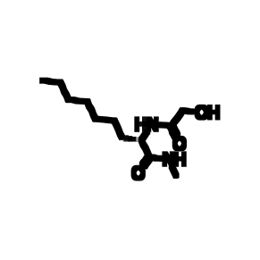 CCCCCCC[C@H](NC(=O)CO)C(=O)NC